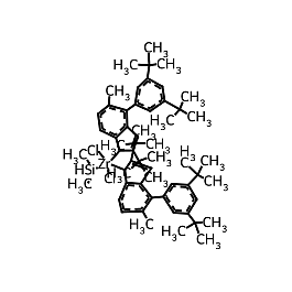 Cc1ccc2c(c1-c1cc(C(C)(C)C)cc(C(C)(C)C)c1)C=C(C(C)(C)C)[CH]2[Zr]([Cl])([Cl])([CH]1C(C(C)(C)C)=Cc2c1ccc(C)c2-c1cc(C(C)(C)C)cc(C(C)(C)C)c1)[SiH](C)C